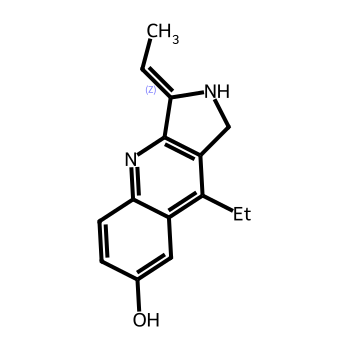 C/C=C1\NCc2c1nc1ccc(O)cc1c2CC